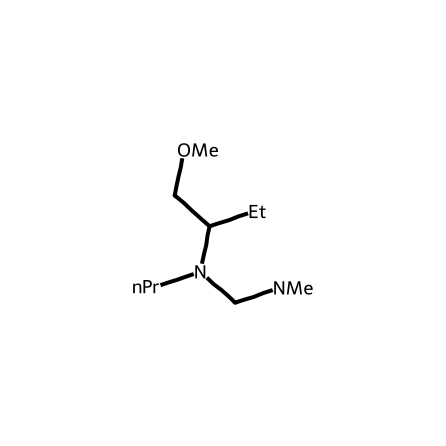 CCCN(CNC)C(CC)COC